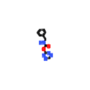 O=C(NCc1ccccc1)Oc1nncnn1